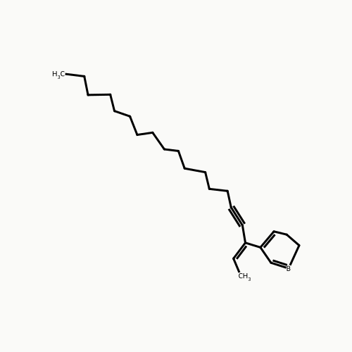 C/C=C(/C#CCCCCCCCCCCCCCC)C1=CCCB=C1